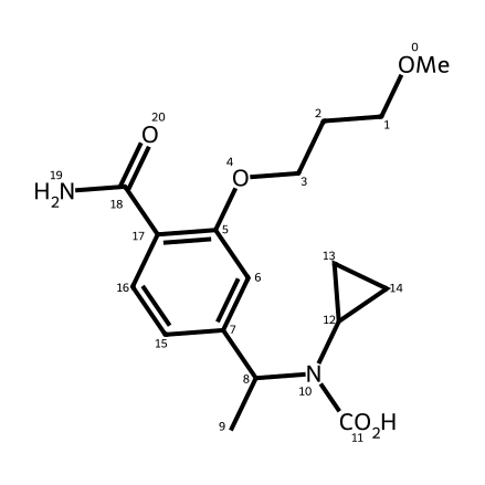 COCCCOc1cc(C(C)N(C(=O)O)C2CC2)ccc1C(N)=O